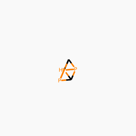 C12P3C4P1[PH]243